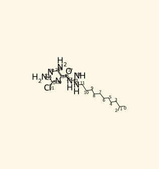 CC(C)CCCCCCCCCNC(=N)NC(=O)c1nc(Cl)c(N)nc1N